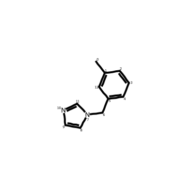 Cc1cccc(Cn2ccnc2)c1